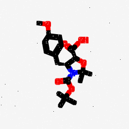 COc1ccc(C[C@@H]2[C@@H](C(=O)O)OC(C)(C)N2C(=O)OC(C)(C)C)cc1